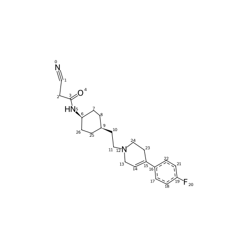 N#CCC(=O)N[C@H]1CC[C@@H](CCN2CC=C(c3ccc(F)cc3)CC2)CC1